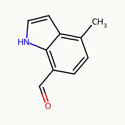 Cc1ccc(C=O)c2[nH]ccc12